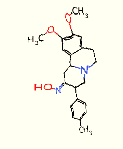 COc1cc2c(cc1OC)C1CC(=NO)C(c3ccc(C)cc3)CN1CC2